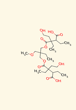 CCC(C(=O)O)C(CC)(CCO)C(=O)OCC(CC)(COC)COC(=O)C(CC)(CCO)C(CC)C(=O)O